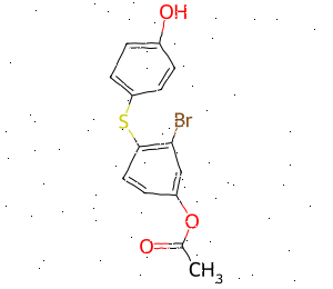 CC(=O)Oc1ccc(Sc2ccc(O)cc2)c(Br)c1